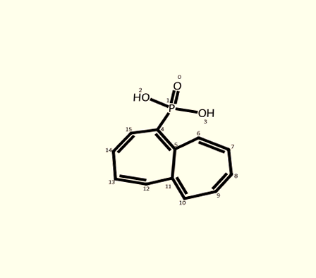 O=P(O)(O)C1=C2C=CC=CC=C2C=CC=C1